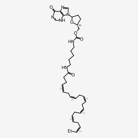 CC/C=C\C/C=C\C/C=C\C/C=C\C/C=C\C/C=C\CCC(=O)NCCCCCNC(=O)OC[C@@H]1CCC(n2cnc3c(=O)nc[nH]c32)O1